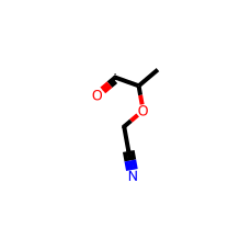 CC([C]=O)OCC#N